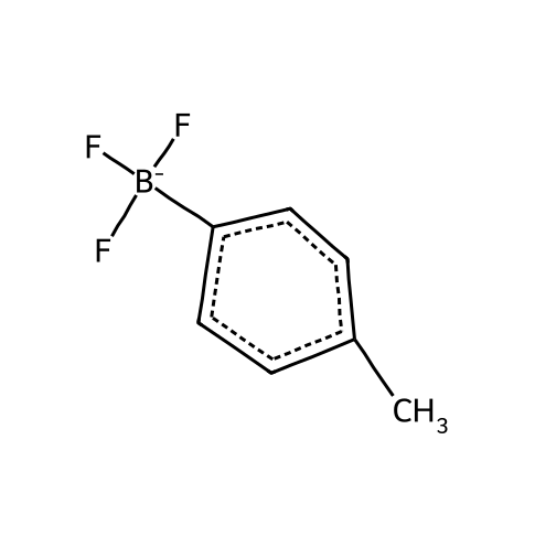 Cc1ccc([B-](F)(F)F)cc1